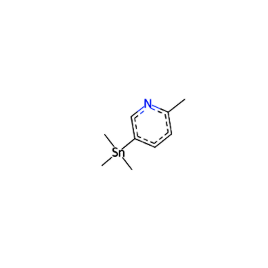 Cc1cc[c]([Sn]([CH3])([CH3])[CH3])cn1